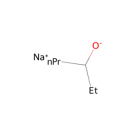 CCCC([O-])CC.[Na+]